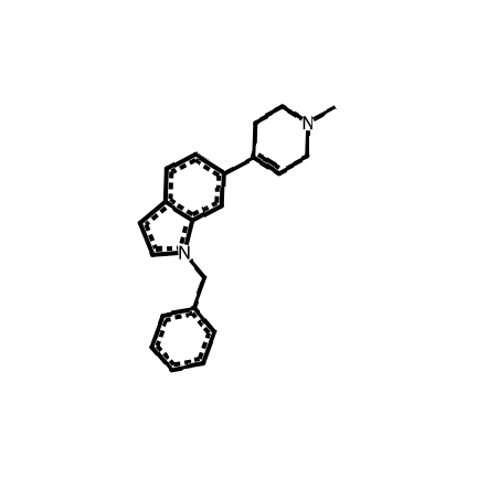 CN1CC=C(c2ccc3ccn(Cc4ccccc4)c3c2)CC1